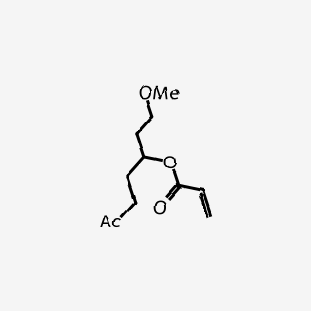 C=CC(=O)OC(CCOC)CCC(C)=O